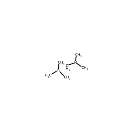 CN(C)C.[CH3][In]([CH3])[CH3]